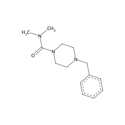 CN(C)C(=O)N1CCN(Cc2ccccc2)CC1